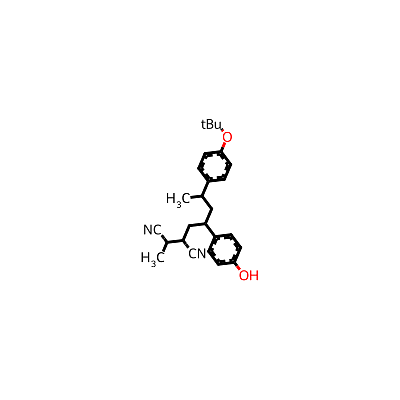 CC(CC(CC(C#N)C(C)C#N)c1ccc(O)cc1)c1ccc(OC(C)(C)C)cc1